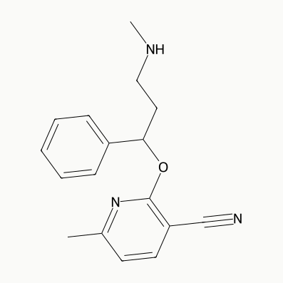 CNCCC(Oc1nc(C)ccc1C#N)c1ccccc1